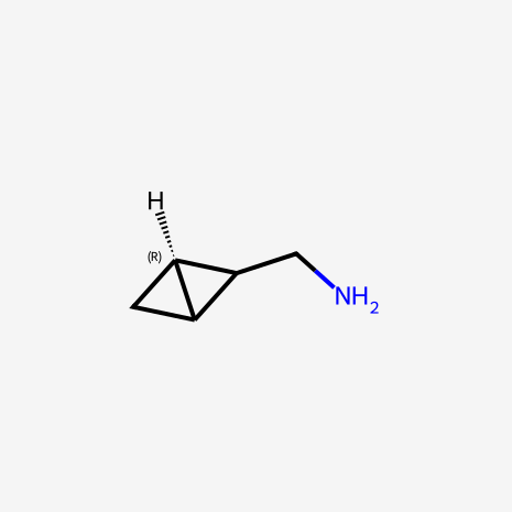 NCC1C2C[C@@H]12